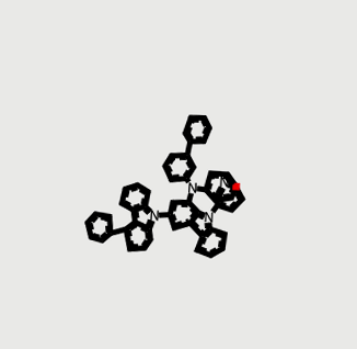 c1ccc(-c2cccc(N(c3ccccc3)c3cc(-n4c5ccccc5c5c(-c6ccccc6)cccc54)cc4c5ccccc5n(-c5cccnc5)c34)c2)cc1